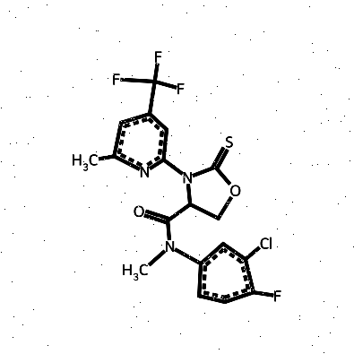 Cc1cc(C(F)(F)F)cc(N2C(=S)OCC2C(=O)N(C)c2ccc(F)c(Cl)c2)n1